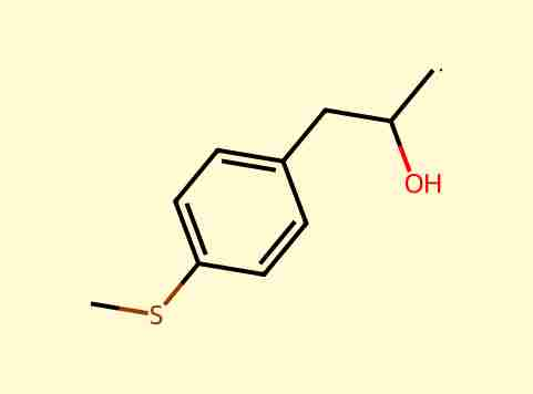 [CH2]C(O)Cc1ccc(SC)cc1